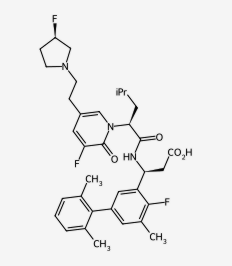 Cc1cc(-c2c(C)cccc2C)cc([C@H](CC(=O)O)NC(=O)[C@H](CC(C)C)n2cc(CCN3CC[C@@H](F)C3)cc(F)c2=O)c1F